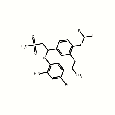 CCOc1cc(C(CS(C)(=O)=O)Nc2ccc(Br)cc2N)ccc1OC(F)F